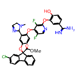 COC(=O)C1(Oc2ccc(Oc3c(F)cnc(Oc4cc(C(=N)N)ccc4O)c3F)c(C3N=CCN3C)c2)c2ccccc2-c2ccc(Cl)cc21